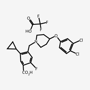 O=C(O)C(F)(F)F.O=C(O)c1cc(C2CC2)c(CN2CCC(Oc3ccc(Cl)c(Cl)c3)CC2)cc1F